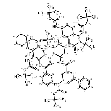 CC(C)(C)OC(=O)NCC[C@H](OC(=O)c1ccccc1)C(=O)N[C@@H]1C[C@@H](NC(=O)OC(C)(C)C)C(O[C@H]2OC(CNC(=O)OC(C)(C)C)CCC2NC(=O)OC(C)(C)C)C(OS(C)(=O)=O)[C@H]1O[C@H]1OC2COC3(CCCCC3)O[C@H]2[C@H](NC(=O)OC(C)(C)C)C1OC(=O)c1ccccc1